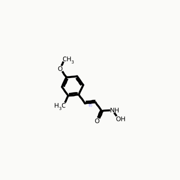 COc1ccc(/C=C/C(=O)NO)c(C)c1